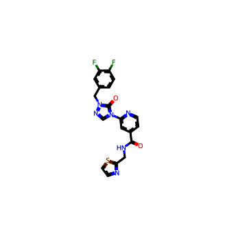 O=C(NCc1nccs1)c1ccnc(-n2cnn(Cc3ccc(F)c(F)c3)c2=O)c1